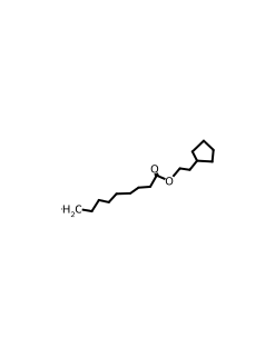 [CH2]CCCCCCCC(=O)OCCC1CCCC1